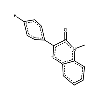 Cn1c(=O)c(-c2ccc(F)cc2)nc2ccccc21